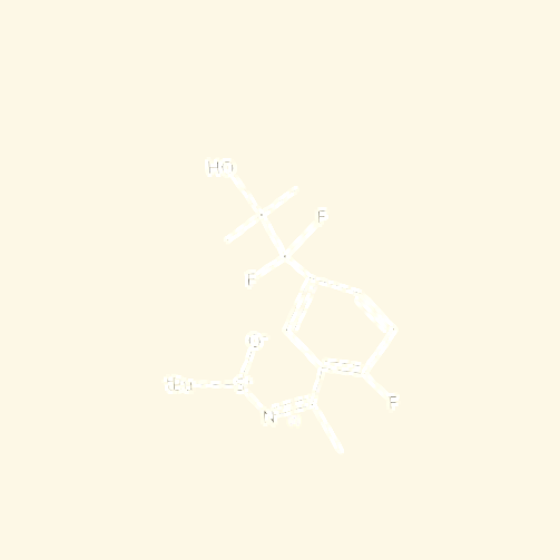 C/C(=N/[S+]([O-])C(C)(C)C)c1cc(C(F)(F)C(C)(C)O)ccc1F